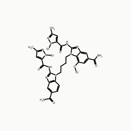 CCOc1cc(C(N)=O)cc2nc(NC(=O)c3cc(C)nn3CC)n(CCCCn3c(NC(=O)c4cc(C)nn4CC)nc4cc(C(N)=O)ccc43)c12